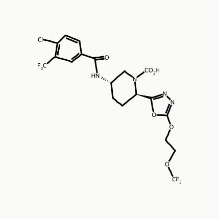 O=C(N[C@H]1CC[C@H](c2nnc(OCCOC(F)(F)F)o2)N(C(=O)O)C1)c1ccc(Cl)c(C(F)(F)F)c1